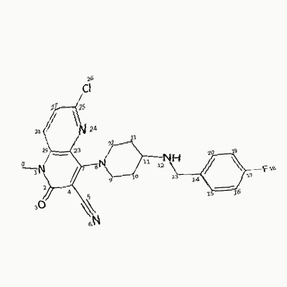 Cn1c(=O)c(C#N)c(N2CCC(NCc3ccc(F)cc3)CC2)c2nc(Cl)ccc21